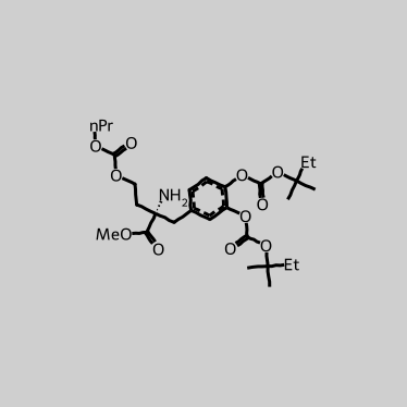 CCCOC(=O)OCC[C@@](N)(Cc1ccc(OC(=O)OC(C)(C)CC)c(OC(=O)OC(C)(C)CC)c1)C(=O)OC